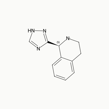 c1ccc2c(c1)CC[N][C@@H]2c1nc[nH]n1